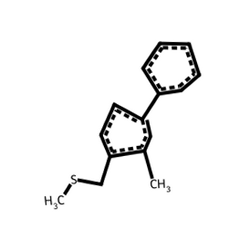 CSCc1ccc(-c2ccccc2)cc1C